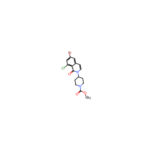 CC(C)(C)OC(=O)N1CCC(n2ccc3cc(Br)cc(Cl)c3c2=O)CC1